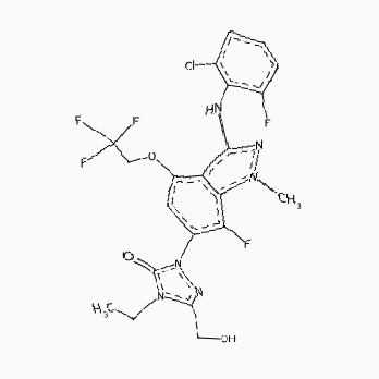 CCn1c(CO)nn(-c2cc(OCC(F)(F)F)c3c(Nc4c(F)cccc4Cl)nn(C)c3c2F)c1=O